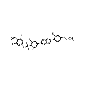 CCCc1ccc(-c2cc3sc(-c4cc(F)c(C(F)(F)Oc5cc(F)c(C=O)c(F)c5)c(F)c4)cc3s2)c(F)c1